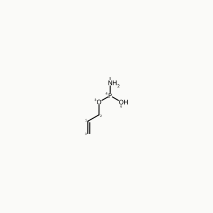 C=CCOP(N)O